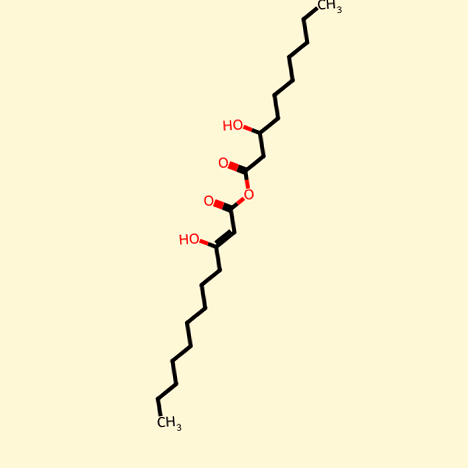 CCCCCCCCCC(O)=CC(=O)OC(=O)CC(O)CCCCCCC